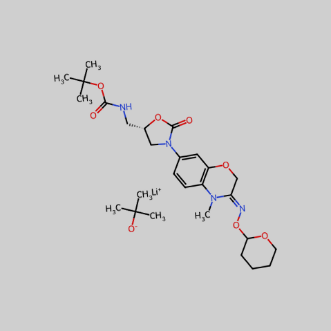 CC(C)(C)[O-].CN1C(=NOC2CCCCO2)COc2cc(N3C[C@H](CNC(=O)OC(C)(C)C)OC3=O)ccc21.[Li+]